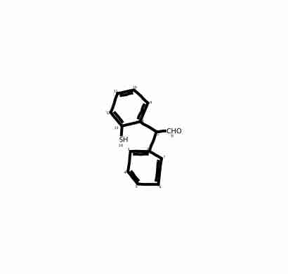 O=CC(c1ccccc1)c1ccccc1S